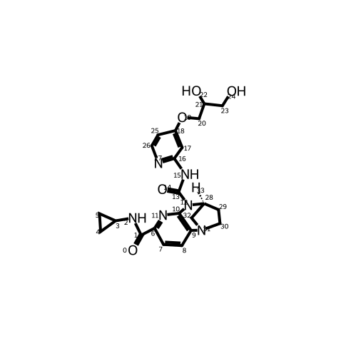 O=C(NC1CC1)c1ccc2c(n1)N(C(=O)Nc1cc(OCC(O)CO)ccn1)[C@H]1CCN2C1